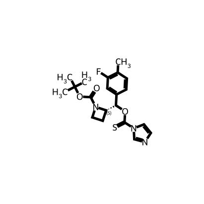 Cc1ccc(C(OC(=S)n2ccnc2)[C@@H]2CCN2C(=O)OC(C)(C)C)cc1F